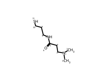 CN(C)CCC(=O)NCCCS